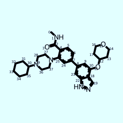 CNC(=O)c1ccc(-c2cc(OC3CCOCC3)c3cn[nH]c3c2)cc1N1CCN(C2CCCCC2)CC1